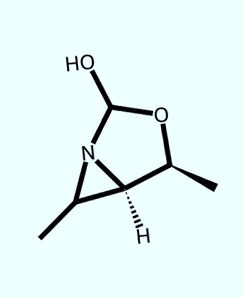 CC1[C@@H]2[C@H](C)OC(O)N12